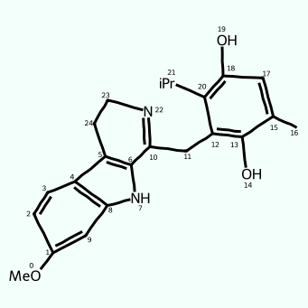 COc1ccc2c3c([nH]c2c1)C(Cc1c(O)c(C)cc(O)c1C(C)C)=NCC3